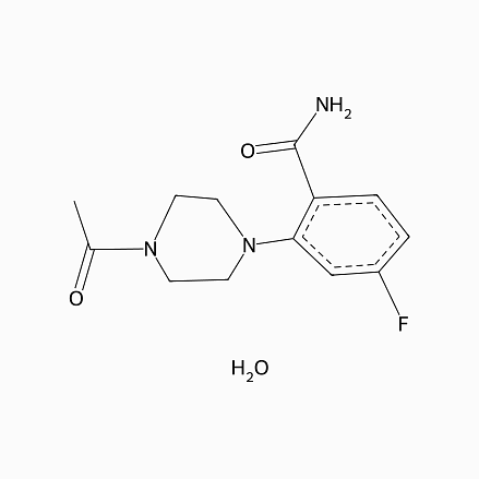 CC(=O)N1CCN(c2cc(F)ccc2C(N)=O)CC1.O